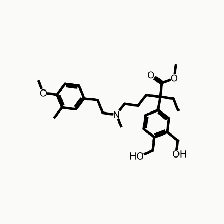 CCC(CCCN(C)CCc1ccc(OC)c(C)c1)(C(=O)OC)c1ccc(CO)c(CO)c1